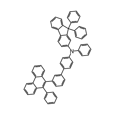 c1ccc(-c2c(-c3cccc(-c4ccc(N(c5ccccc5)c5ccc6c(c5)C(c5ccccc5)(c5ccccc5)c5ccccc5-6)cc4)c3)c3ccccc3c3ccccc23)cc1